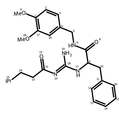 COc1ccc(CNC(=O)C(Cc2ccccc2)NC(N)=NC(=O)CCC(C)C)cc1OC